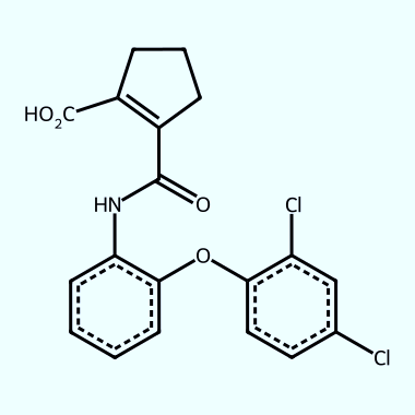 O=C(O)C1=C(C(=O)Nc2ccccc2Oc2ccc(Cl)cc2Cl)CCC1